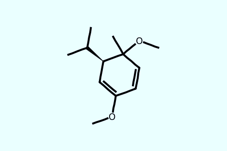 COC1=C[C@@H](C(C)C)C(C)(OC)C=C1